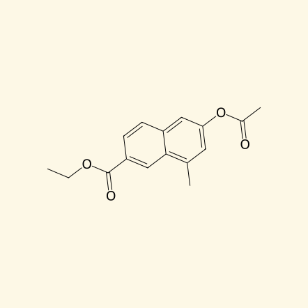 CCOC(=O)c1ccc2cc(OC(C)=O)cc(C)c2c1